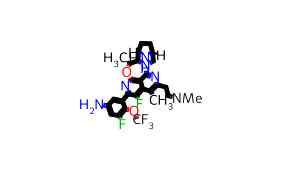 CNCCc1nc2c3c(nc(-c4cc(N)cc(F)c4OC(F)(F)F)c(F)c3c1C)O[C@@H](C)[C@@H]1[C@@H]3CC[C@H](CN21)N3